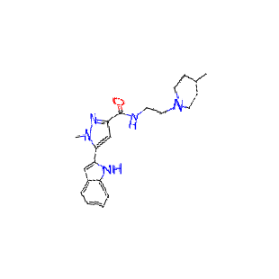 CC1CCN(CCNC(=O)c2cc(-c3cc4ccccc4[nH]3)n(C)n2)CC1